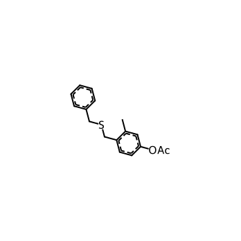 CC(=O)Oc1ccc(CSCc2ccccc2)c(C)c1